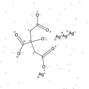 O=C([O-])CC([O-])(CC(=O)[O-])C(=O)[O-].[Ag+].[Ag+].[Ag+].[Ag+]